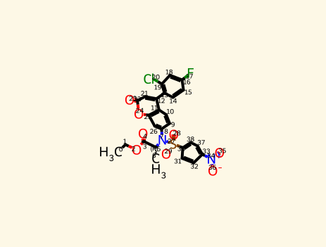 CCOC(=O)[C@@H](C)N(c1ccc2c(-c3ccc(F)cc3Cl)cc(=O)oc2c1)S(=O)(=O)c1ccc([N+](=O)[O-])cc1